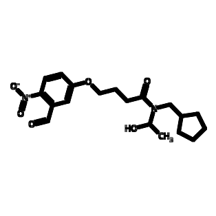 CC(O)N(CC1CCCC1)C(=O)CCCOc1ccc([N+](=O)[O-])c(C=O)c1